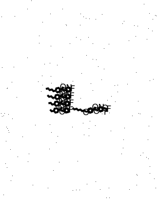 CCC1CCC(C(=O)Oc2ccc(F)nc2)CC1.CCCC1CCC(C(=O)Oc2ccc(F)nc2)CC1.CCCCC1CCC(C(=O)Oc2ccc(F)nc2)CC1.CCCCCC1CCC(C(=O)Oc2ccc(F)nc2)CC1.CCCCCCCOc1ccc(C(=O)Oc2ccc(OC(F)F)nc2)cc1